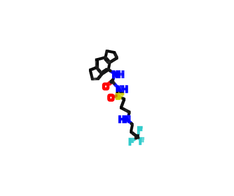 O=C(Nc1c2c(cc3c1CCC3)CCC2)N[S+]([O-])CCCNCCC(F)(F)F